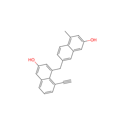 C#Cc1cccc2cc(O)cc(Cc3ccc4c(C)cc(O)cc4c3)c12